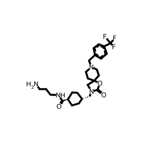 NCCCNC(=O)[C@H]1CC[C@H](CN2CC3(CCN(Cc4ccc(C(F)(F)F)cc4)CC3)OC2=O)CC1